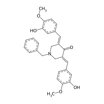 COc1ccc(/C=C2\CN(Cc3ccccc3)C/C(=C\c3ccc(OC)c(O)c3)C2=O)cc1O